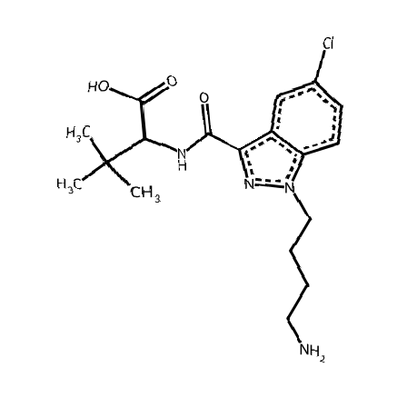 CC(C)(C)C(NC(=O)c1nn(CCCCN)c2ccc(Cl)cc12)C(=O)O